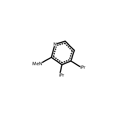 CNc1nccc(C(C)C)c1C(C)C